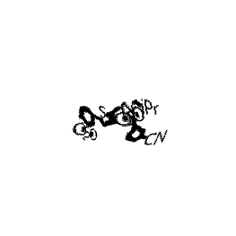 CC(C)CN(Cc1ccc(-c2cccc(S(C)(=O)=O)c2)s1)S(=O)(=O)c1cccc(C#N)c1